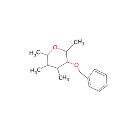 CC1OC(C)C(OCc2ccccc2)C(C)C1C